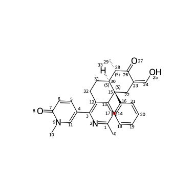 Cc1nc(-c2ccc(=O)n(C)c2)c2c(n1)[C@@]1(c3ccccc3)CC(=CO)C(=O)[C@@H](C)[C@@H]1CC2